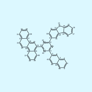 c1ccc2cc(-c3nc(-c4ccc5sc6ccccc6c5c4)nc(-c4cc5c6ccccc6ccc5c5ccccc45)n3)ccc2c1